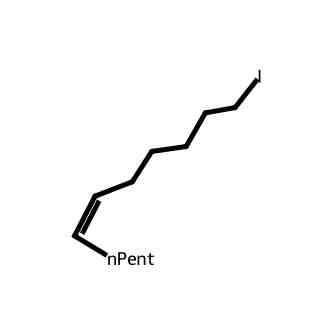 CCCCC/C=C\CCCCCI